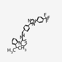 CC(C)c1ccccc1N1CCCSC1=NN=Cc1ccc(-c2ncn(-c3ccc(C(F)(F)F)cc3)n2)cc1